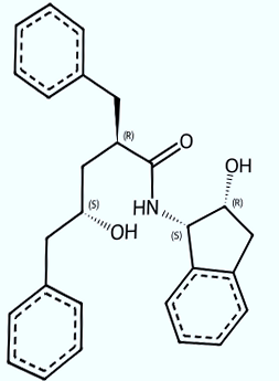 O=C(N[C@H]1c2ccccc2C[C@H]1O)[C@H](Cc1ccccc1)C[C@H](O)Cc1ccccc1